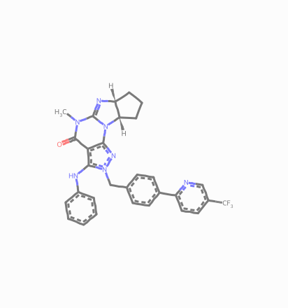 CN1C(=O)c2c(nn(Cc3ccc(-c4ccc(C(F)(F)F)cn4)cc3)c2Nc2ccccc2)N2C1=N[C@@H]1CCC[C@@H]12